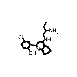 CCC(N)CNc1cc(-c2cc(Cl)ccc2O)nc2ccccc12